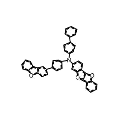 c1ccc(-c2ccc(N(c3ccc(-c4ccc5oc6ccccc6c5c4)cc3)c3ccc4c(c3)oc3c5ccccc5oc43)cc2)cc1